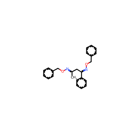 C/C(C/C(=N\OCc1ccccc1)c1ccccc1)=N\OCc1ccccc1